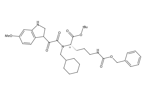 COc1ccc2c(c1)NCC2C(=O)C(=O)N(CC1CCCCC1)[C@@H](CCCNC(=O)OCc1ccccc1)C(=O)OC(C)(C)C